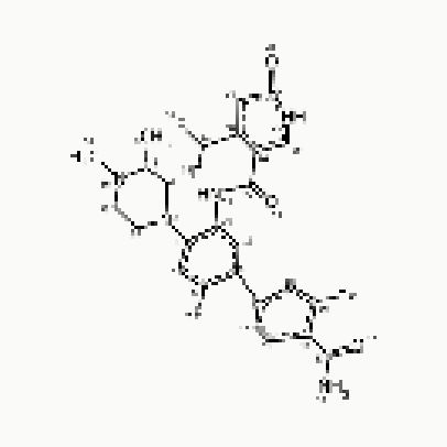 C[C@@H]1CN(c2cc(F)c(-c3ccc(C(N)=O)c(F)c3)cc2NC(=O)c2c[nH]c(=O)cc2C(F)F)CCN1C